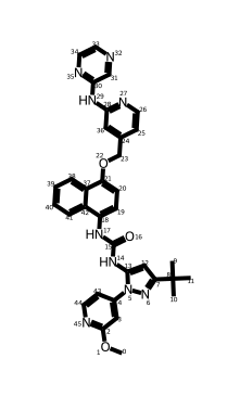 COc1cc(-n2nc(C(C)(C)C)cc2NC(=O)Nc2ccc(OCc3ccnc(Nc4cnccn4)c3)c3ccccc23)ccn1